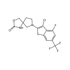 O=C1NC2(CCN(c3sc4cc(C(F)(F)F)cc(F)c4c3Cl)C2)CO1